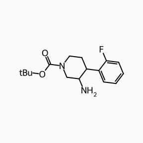 CC(C)(C)OC(=O)N1CCC(c2ccccc2F)C(N)C1